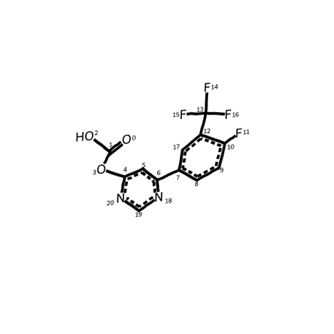 O=C(O)Oc1cc(-c2ccc(F)c(C(F)(F)F)c2)ncn1